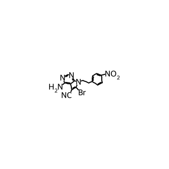 N#Cc1c(Br)n(CCc2ccc([N+](=O)[O-])cc2)c2ncnc(N)c12